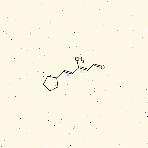 CC(/C=C/C1CCCC1)=C\C=O